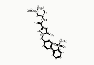 CCCc1cc(C(=O)N[C@@H](CC(C)C)CN(O)C=O)nn1Cc1ccc(-c2ccccc2S(=O)(=O)NC(C)=O)cc1